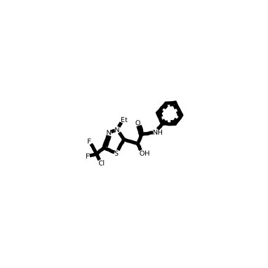 CCN1N=C(C(F)(F)Cl)SC1C(O)C(=O)Nc1ccccc1